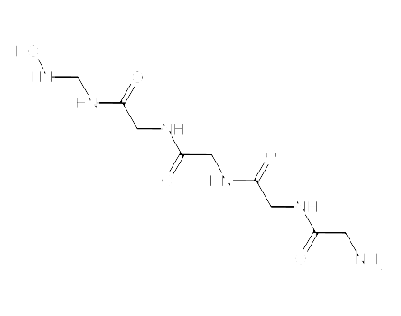 NCC(=O)NCC(=O)NCC(=O)NCC(=O)NCNO